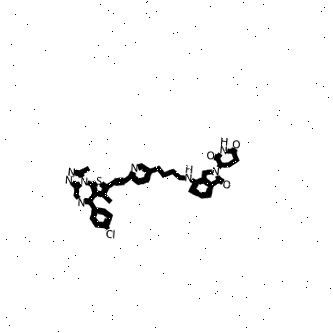 Cc1c(C#Cc2ccc(CCCCNc3cccc4c3CN(C3CCC(=O)NC3=O)C4=O)cn2)sc2c1C(c1ccc(Cl)cc1)=NCc1nnc(C)n1-2